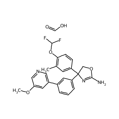 COc1cncc(-c2cccc(C3(c4ccc(OC(F)F)c(C)c4)COC(N)=N3)c2)c1.O=CO